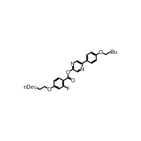 CCCCCCCCCCCCOc1ccc(C(=O)Oc2cnc(-c3ccc(OCC(C)CC)cc3)cn2)c(F)c1